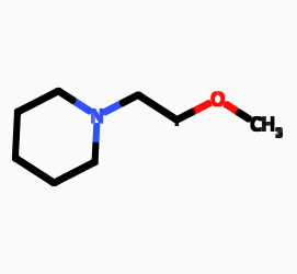 CO[CH]CN1CCCCC1